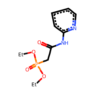 CCOP(=O)(CC(=O)Nc1ccccn1)OCC